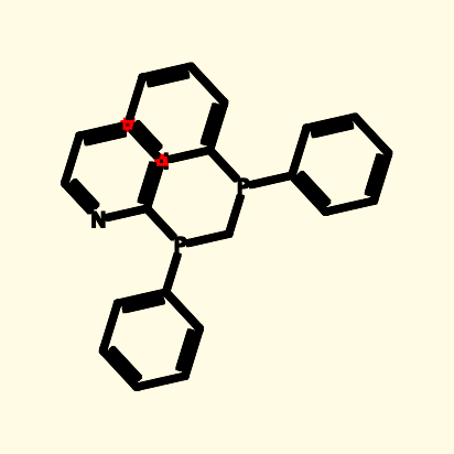 c1ccc(P(CP(c2ccccc2)c2ccccn2)c2ccccn2)cc1